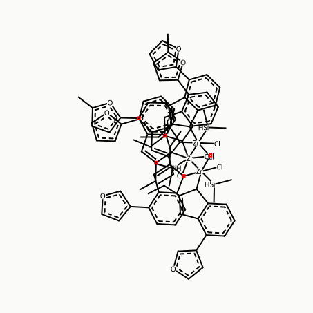 CCC1=Cc2c(-c3ccoc3)cccc2[CH]1[Zr]([Cl])([Cl])([CH]1C(CC)=Cc2c(-c3ccoc3)cccc21)([SiH](C)C)[Zr]([Cl])([Cl])([CH]1C(CC)=Cc2c(-c3ccc(C)o3)cccc21)([CH]1C(CC)=Cc2c(-c3ccc(C)o3)cccc21)([SiH](C)C)[Zr]([Cl])([Cl])([CH]1C(CC)=Cc2c(-c3ccco3)cccc21)([CH]1C(CC)=Cc2c(-c3ccco3)cccc21)[SiH](C)C